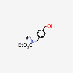 CCOC(=O)N(Cc1ccc(CO)cc1)C(C)C